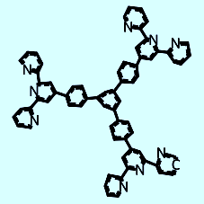 c1ccc(-c2cc(-c3ccc(-c4cc(-c5ccc(-c6cc(-c7ccccn7)nc(-c7ccccn7)c6)cc5)cc(-c5ccc(-c6cc(-c7ccccn7)nc(-c7ccccn7)c6)cc5)c4)cc3)cc(-c3ccccn3)n2)nc1